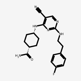 N#Cc1cnc(NCCc2ccc(F)cc2)nc1N[C@H]1CC[C@@H](C(N)=O)CC1